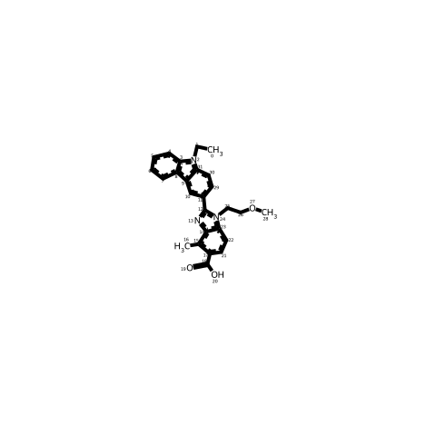 CCn1c2ccccc2c2cc(-c3nc4c(C)c(C(=O)O)ccc4n3CCOC)ccc21